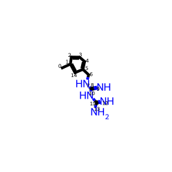 Cc1cccc(CNC(=N)NC(=N)N)c1